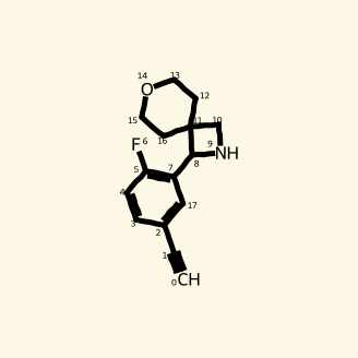 C#Cc1ccc(F)c(C2NCC23CCOCC3)c1